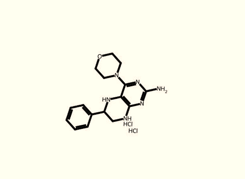 Cl.Cl.Nc1nc2c(c(N3CCOCC3)n1)NC(c1ccccc1)CN2